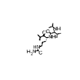 CC(C)N[C@H](C(=O)N[C@H](CCCNC(N)=O)C(=O)C(C)C)C(C)C